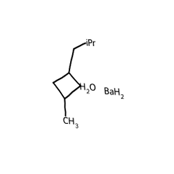 CC(C)CC1CC(C)C1.O.[BaH2]